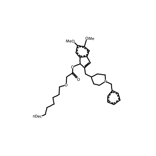 CCCCCCCCCCCCCCCCOCC(=O)OC1C(CC2CCN(Cc3ccccc3)CC2)=Cc2cc(OC)c(OC)cc21